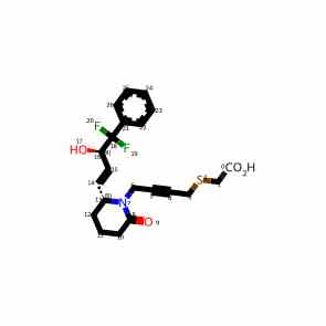 O=C(O)CSCC#CCN1C(=O)CCC[C@@H]1C=C[C@@H](O)C(F)(F)c1ccccc1